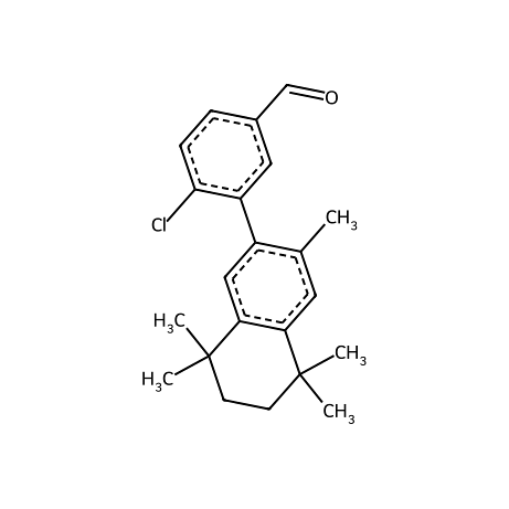 Cc1cc2c(cc1-c1cc(C=O)ccc1Cl)C(C)(C)CCC2(C)C